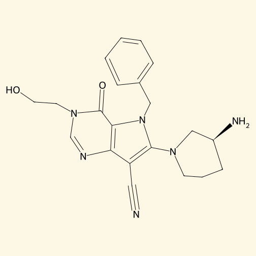 N#Cc1c(N2CCC[C@H](N)C2)n(Cc2ccccc2)c2c(=O)n(CCO)cnc12